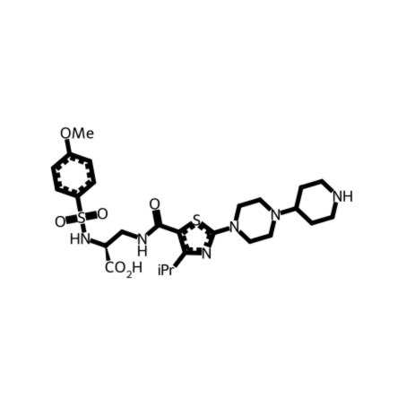 COc1ccc(S(=O)(=O)N[C@@H](CNC(=O)c2sc(N3CCN(C4CCNCC4)CC3)nc2C(C)C)C(=O)O)cc1